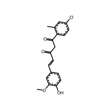 COc1cc(/C=C/C(=O)CC(=O)c2ccc(Cl)cc2C)ccc1O